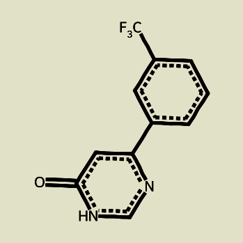 O=c1cc(-c2cccc(C(F)(F)F)c2)nc[nH]1